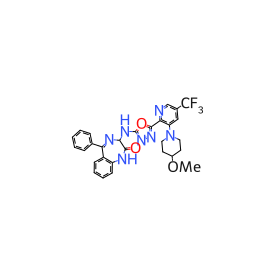 COC1CCN(c2cc(C(F)(F)F)cnc2-c2nnc(NC3N=C(c4ccccc4)c4ccccc4NC3=O)o2)CC1